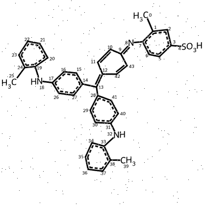 Cc1cc(S(=O)(=O)O)ccc1N=C1C=CC(=C(c2ccc(Nc3ccccc3C)cc2)c2ccc(Nc3ccccc3C)cc2)C=C1